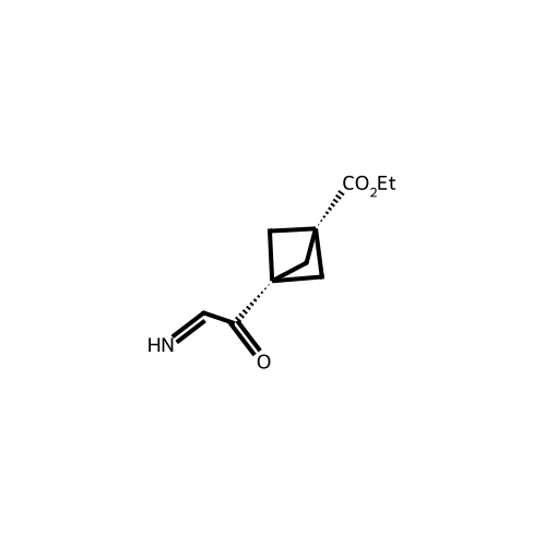 CCOC(=O)[C@]12C[C@](C(=O)C=N)(C1)C2